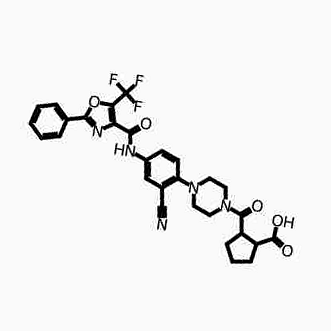 N#Cc1cc(NC(=O)c2nc(-c3ccccc3)oc2C(F)(F)F)ccc1N1CCN(C(=O)C2CCCC2C(=O)O)CC1